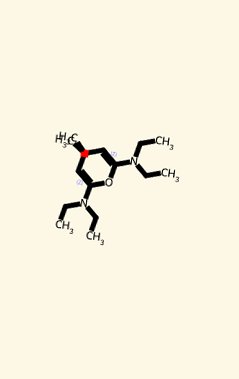 CC/C=C(\O/C(=C\CC)N(CC)CC)N(CC)CC